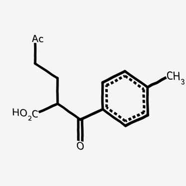 CC(=O)CCC(C(=O)O)C(=O)c1ccc(C)cc1